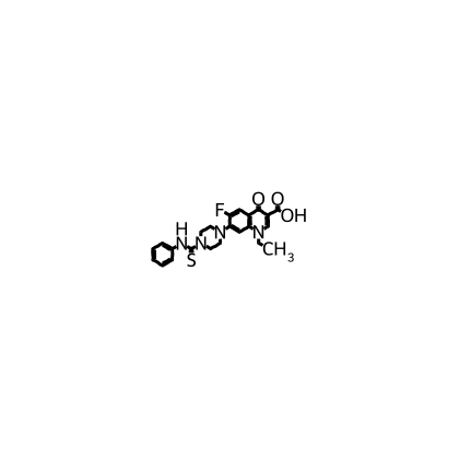 CCn1cc(C(=O)O)c(=O)c2cc(F)c(N3CCN(C(=S)Nc4ccccc4)CC3)cc21